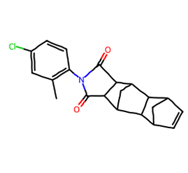 Cc1cc(Cl)ccc1N1C(=O)C2C3CC(C2C1=O)C1C2C=CC(C2)C31